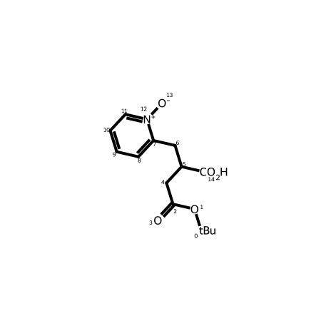 CC(C)(C)OC(=O)CC(Cc1cccc[n+]1[O-])C(=O)O